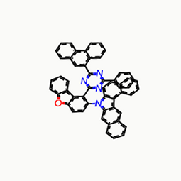 c1ccc(-c2nc(-c3cc4ccccc4c4ccccc34)nc(-c3c(-n4c5cc6ccccc6cc5c5c6ccccc6ccc54)ccc4oc5ccccc5c34)n2)cc1